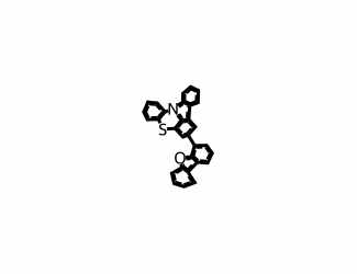 c1ccc2c(c1)Sc1cc(-c3cccc4c3oc3ccccc34)cc3c4ccccc4n-2c13